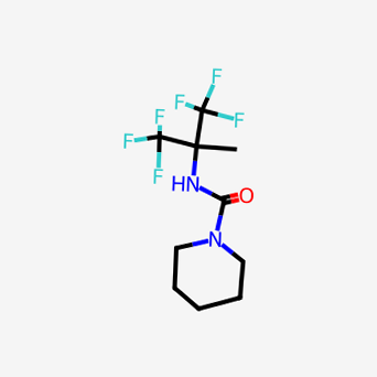 CC(NC(=O)N1CCCCC1)(C(F)(F)F)C(F)(F)F